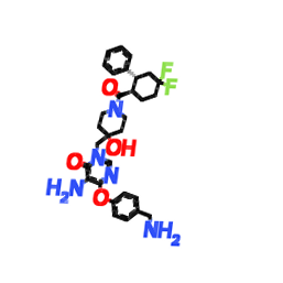 NCc1ccc(Oc2ncn(CC3(O)CCN(C(=O)[C@@H]4CCC(F)(F)C[C@H]4c4ccccc4)CC3)c(=O)c2N)cc1